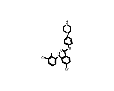 Cc1c(Cl)cccc1Nc1cc(Br)ccc1C(=O)Nc1ccc(N2CCNCC2)cc1